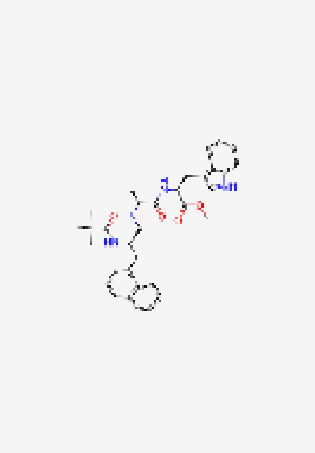 COC(=O)[C@H](Cc1c[nH]c2ccccc12)NC(=O)[C@H](C)NC[C@@H](Cc1cccc2ccccc12)NC(=O)C(C)(C)C